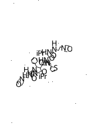 CC(C)[C@H](NC(=O)NCCN1CCOCC1)C(=O)NN(Cc1cccs1)CC(O)C(C(=O)[C@@H](NC(=O)NCCN1CCOCC1)C(C)C)C(N)c1ccccc1